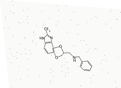 FC(F)(F)c1nc2c3c(ccc2[nH]1)OCC(CNCc1ccccc1)O3